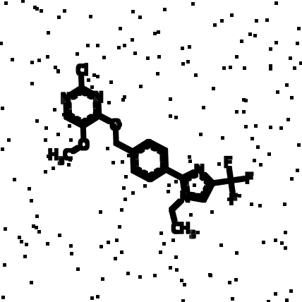 CCn1cc(C(F)(F)F)nc1-c1ccc(COc2nc(Cl)ncc2OC)cc1